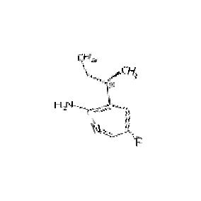 CC[C@@H](C)c1cc(F)cnc1N